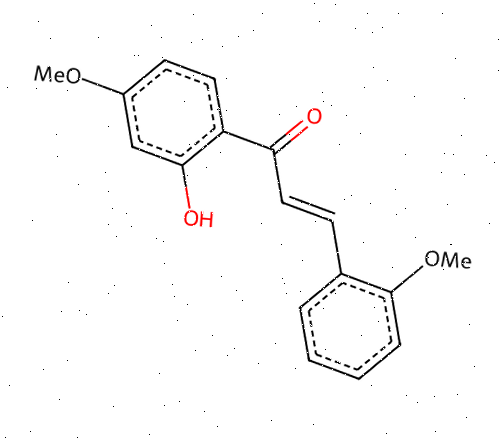 COc1ccc(C(=O)C=Cc2ccccc2OC)c(O)c1